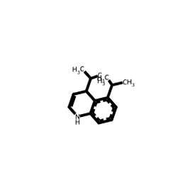 CC(C)c1cccc2c1C(C(C)C)C=CN2